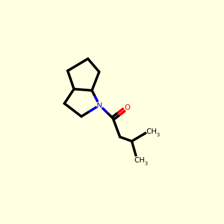 CC(C)CC(=O)N1CCC2CCCC21